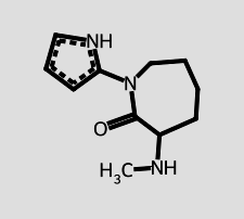 CNC1CCCCN(c2ccc[nH]2)C1=O